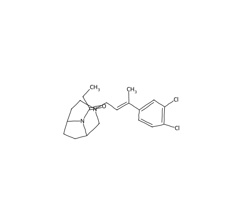 CCC(=O)N1C2CCC1CN(C/C=C(\C)c1ccc(Cl)c(Cl)c1)CC2